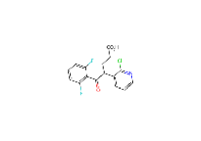 O=C(O)CCC(C(=O)c1c(F)cccc1F)c1cccnc1Cl